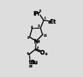 CCC(C(C)C)C1CCN(C(=O)CC(C)(C)C)C1